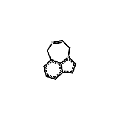 C1=NCc2cccc3ccn(c23)C1